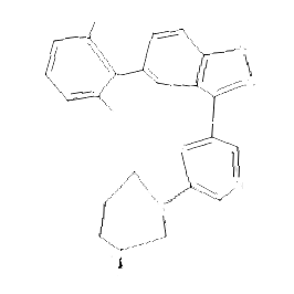 O[C@H]1CCCN(c2cncc(-c3n[nH]c4ccc(-c5c(F)cccc5F)cc34)n2)C1